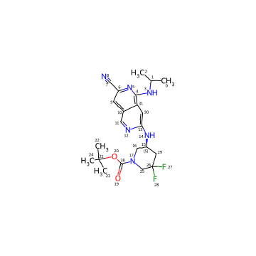 CC(C)Nc1nc(C#N)cc2cnc(N[C@@H]3CN(C(=O)OC(C)(C)C)CC(F)(F)C3)cc12